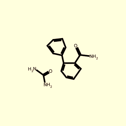 NC(=O)c1ccccc1-c1ccccc1.NC(N)=O